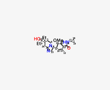 CCC(O)(CC)c1ccn2c(-c3cc(C)c(C(=O)NC4CC4)c(OC)c3)cnc2c1